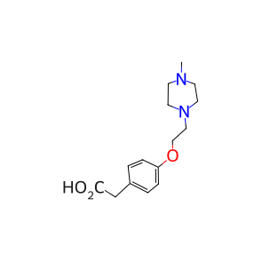 CN1CCN(CCOc2ccc(CC(=O)O)cc2)CC1